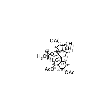 C=C1[C@@H](OC(C)=O)C[C@H]2[C@H](COS(C)(=O)=O)[C@@H]([C@@]3(C)CC[C@H](OC(C)=O)C[C@@H]3COC(C)=O)CC[C@]12C